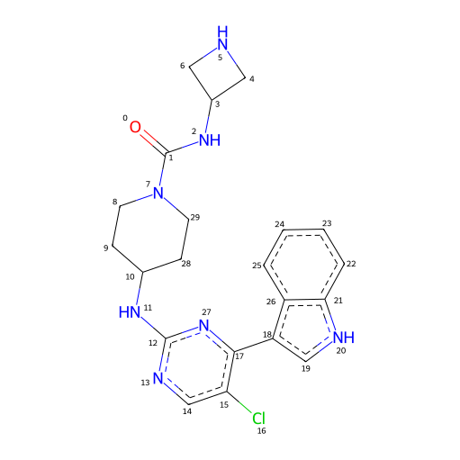 O=C(NC1CNC1)N1CCC(Nc2ncc(Cl)c(-c3c[nH]c4ccccc34)n2)CC1